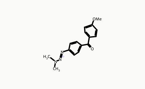 COc1ccc(C(=O)c2ccc(/N=N/N(C)C)cc2)cc1